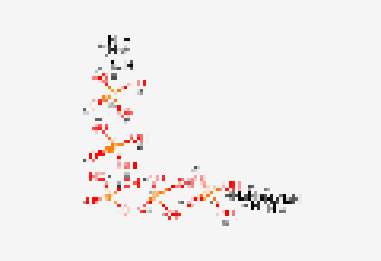 O=P(O)(O)O.O=P(O)(O)O.O=P(O)(O)O.O=P(O)(O)O.O=P(O)(O)O.[NaH].[NaH].[NaH].[NaH].[NaH].[NaH].[NaH]